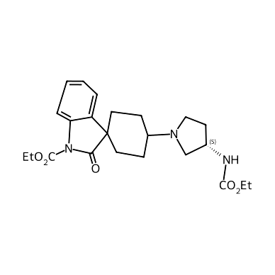 CCOC(=O)N[C@H]1CCN(C2CCC3(CC2)C(=O)N(C(=O)OCC)c2ccccc23)C1